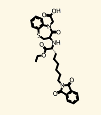 CCOC(=O)[C@@H](CCCCCCN1C(=O)c2ccccc2C1=O)NC1CSc2ccccc2N(CC(=O)O)C1=O